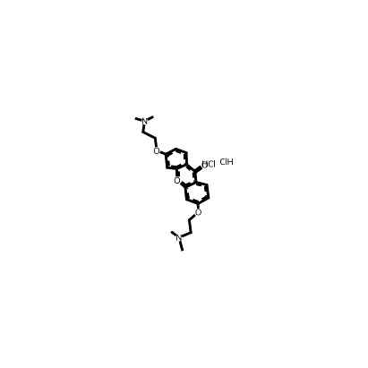 CN(C)CCOc1ccc2c(=O)c3ccc(OCCN(C)C)cc3oc2c1.Cl.Cl